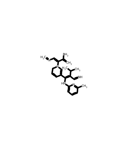 BC(=C)/C(=C/N=C)N1C=C(/C(Nc2cccc(C)n2)=C(/C=N)C(C)C)C=CC1